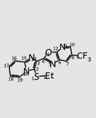 CCSc1c(-c2nc3cc(C(F)(F)F)cnc3o2)nc2ccccn12